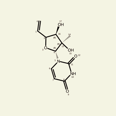 C=CC1O[C@@H](n2ccc(=O)[nH]c2=O)[C@](C)(O)[C@@H]1O